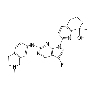 CN1CCc2ccc(Nc3ncc4c(F)cn(-c5ccc6c(n5)C(C)(O)CCC6)c4n3)cc2C1